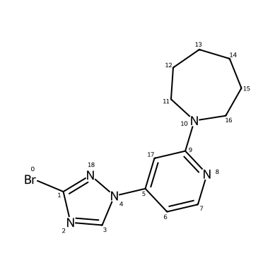 Brc1ncn(-c2ccnc(N3CCCCCC3)c2)n1